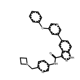 O=C(Nc1ccc(CN2CCC2)nc1)c1n[nH]c2ccc(-c3cncc(Oc4ccccc4)c3)cc12